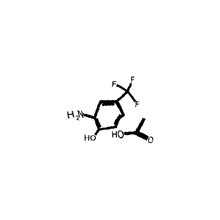 CC(=O)O.Nc1cc(C(F)(F)F)ccc1O